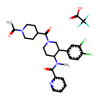 CC(=O)N1CCC(C(=O)N2CCC(N(C)C(=O)c3ccccn3)C(c3ccc(Cl)c(Cl)c3)C2)CC1.O=C(O)C(F)(F)F